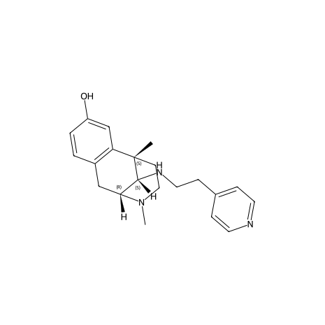 CN1CC[C@@]2(C)c3cc(O)ccc3C[C@@H]1[C@H]2NCCc1ccncc1